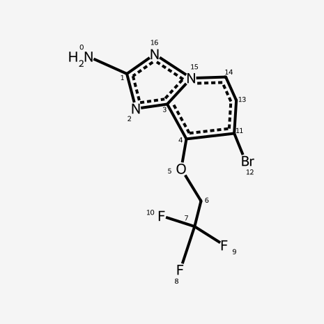 Nc1nc2c(OCC(F)(F)F)c(Br)ccn2n1